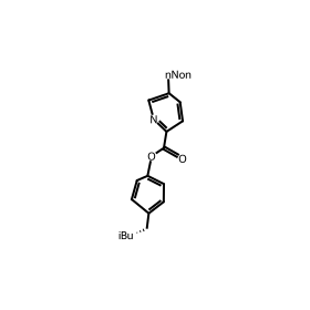 CCCCCCCCCc1ccc(C(=O)Oc2ccc(C[C@@H](C)CC)cc2)nc1